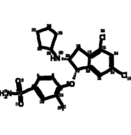 NS(=O)(=O)c1ccc(O[C@H]2c3cc(Cl)cc(Cl)c3C[C@H]2NC2CCCC2)c(F)c1